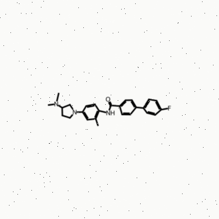 Cc1cc(N2CCC(N(C)C)C2)ccc1NC(=O)c1ccc(-c2ccc(F)cc2)cc1